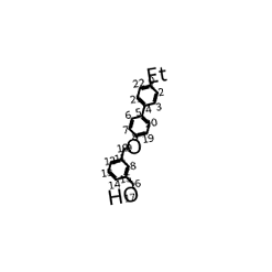 CCc1ccc(-c2ccc(OCc3cccc(CO)c3)cc2)cc1